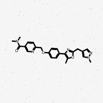 Cc1oc(Cc2cnn(C)c2)nc1-c1ccc(OCc2ccc(C(=O)N(C)C)cn2)cc1